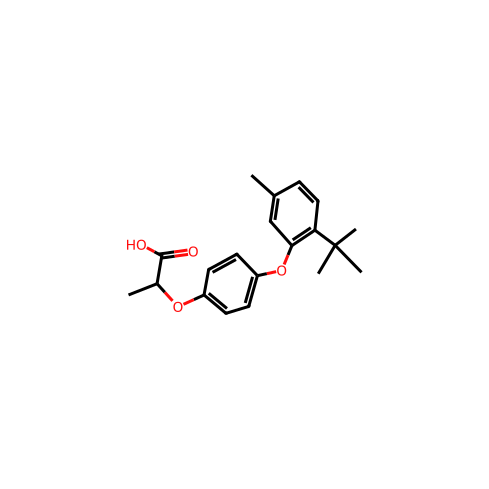 Cc1ccc(C(C)(C)C)c(Oc2ccc(OC(C)C(=O)O)cc2)c1